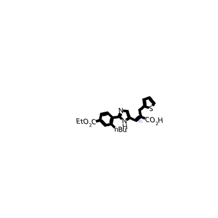 CCCCc1cc(C(=O)OCC)ccc1-c1ncc(/C=C(\Cc2cccs2)C(=O)O)[nH]1